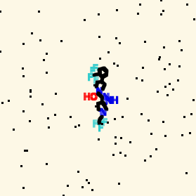 OC(c1n[nH]c2c1CCN(CCC(F)(F)F)C2)N1CCC(c2cccc(F)c2C(F)(F)F)CC1